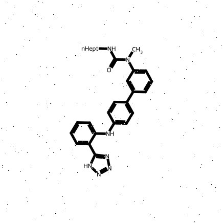 CCCCCCCNC(=O)N(C)c1cccc(-c2ccc(Nc3ccccc3-c3nnn[nH]3)cc2)c1